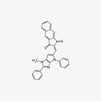 Cn1c(-c2ccccc2)nc2c1cc(C=C1C(=S)c3cc4ccccc4cc3C1=S)n2-c1ccccc1